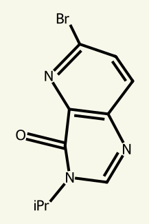 CC(C)n1cnc2ccc(Br)nc2c1=O